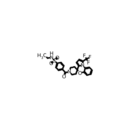 CCNS(=O)(=O)c1ccc(C(=O)N2CCC3(CC2)Oc2ccccc2-n2c(C(F)(F)F)ccc23)cc1